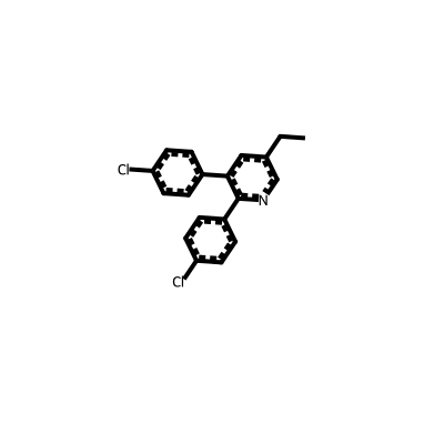 CCc1cnc(-c2ccc(Cl)cc2)c(-c2ccc(Cl)cc2)c1